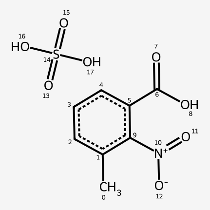 Cc1cccc(C(=O)O)c1[N+](=O)[O-].O=S(=O)(O)O